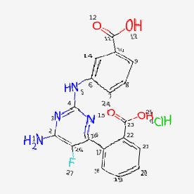 Cl.Nc1nc(Nc2cccc(C(=O)O)c2)nc(-c2ccccc2C(=O)O)c1F